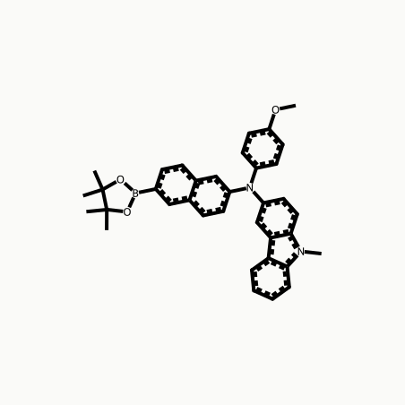 COc1ccc(N(c2ccc3cc(B4OC(C)(C)C(C)(C)O4)ccc3c2)c2ccc3c(c2)c2ccccc2n3C)cc1